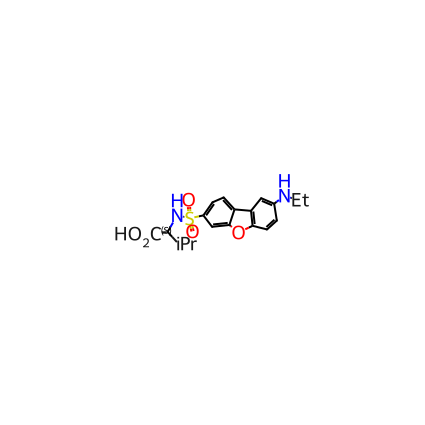 CCNc1ccc2oc3cc(S(=O)(=O)N[C@H](C(=O)O)C(C)C)ccc3c2c1